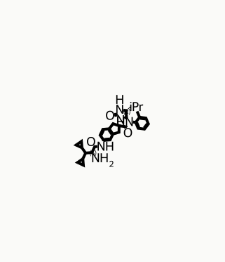 Cc1ccccc1NC(=O)C1(N2C[C@@H](C(C)C)NC2=O)Cc2ccc(NC(=O)[C@@H](N)C(C3CC3)C3CC3)cc2C1